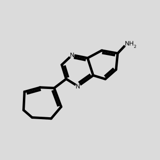 Nc1ccc2nc(C3=CCCCC=C3)cnc2c1